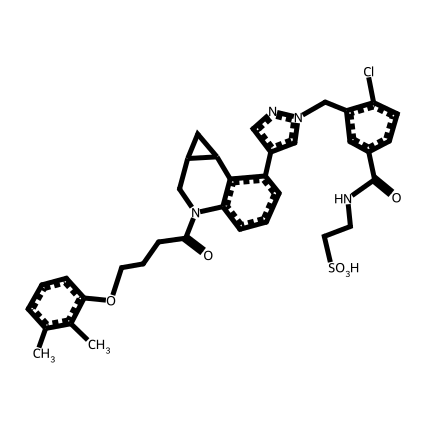 Cc1cccc(OCCCC(=O)N2CC3CC3c3c(-c4cnn(Cc5cc(C(=O)NCCS(=O)(=O)O)ccc5Cl)c4)cccc32)c1C